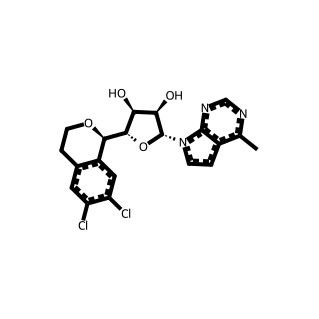 Cc1ncnc2c1ccn2[C@@H]1O[C@H]([C@@H]2OCCc3cc(Cl)c(Cl)cc32)[C@@H](O)[C@H]1O